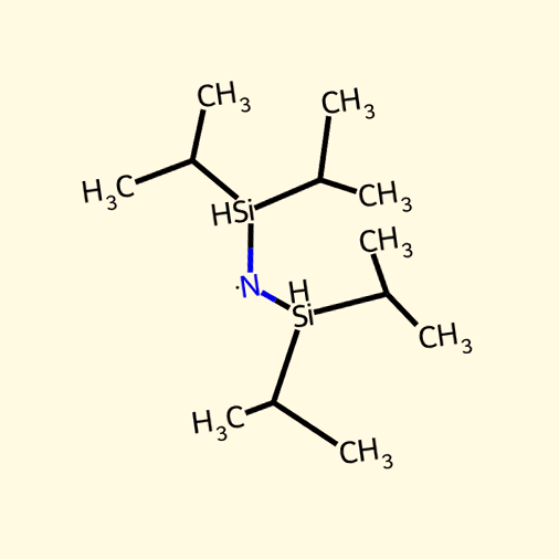 CC(C)[SiH]([N][SiH](C(C)C)C(C)C)C(C)C